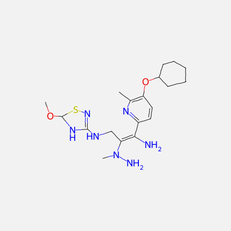 COC1NC(NC/C(=C(/N)c2ccc(OC3CCCCC3)c(C)n2)N(C)N)=NS1